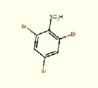 O=S(=O)(O)c1c(Br)cc(Br)cc1Br